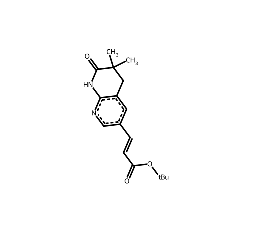 CC(C)(C)OC(=O)C=Cc1cnc2c(c1)CC(C)(C)C(=O)N2